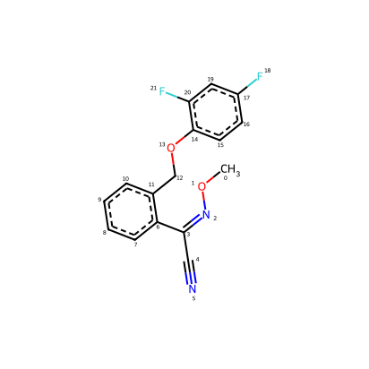 CO/N=C(/C#N)c1ccccc1COc1ccc(F)cc1F